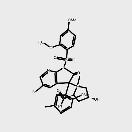 CNC(=O)[C@@H]1C[C@@H](O)C[N+]1(C)C1(c2cc(C)ccc2OC)C(=O)N(S(=O)(=O)c2ccc(OC)cc2OC(F)(F)F)c2ncc(Br)cc21